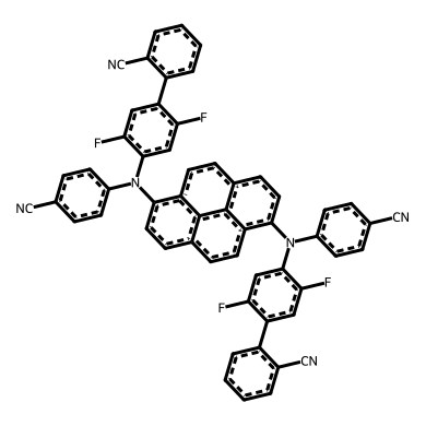 N#Cc1ccc(N(c2cc(F)c(-c3ccccc3C#N)cc2F)c2ccc3ccc4c(N(c5ccc(C#N)cc5)c5cc(F)c(-c6ccccc6C#N)cc5F)ccc5ccc2c3c54)cc1